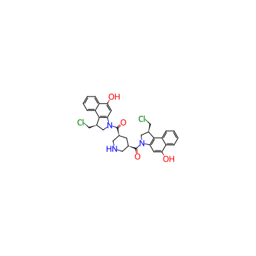 O=C([C@@H]1CNC[C@H](C(=O)N2C[C@@H](CCl)c3c2cc(O)c2ccccc32)C1)N1C[C@@H](CCl)c2c1cc(O)c1ccccc21